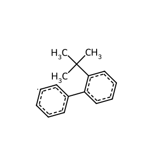 CC(C)(C)c1ccccc1-c1c[c]ccc1